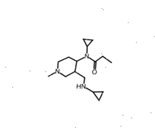 CCC(=O)N(C1CC1)C1CCN(C)CC1CNC1CC1